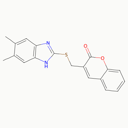 Cc1cc2nc(SCc3cc4ccccc4oc3=O)[nH]c2cc1C